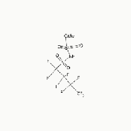 COS(=O)(=O)NS(=O)(=O)C(F)(F)C(F)(F)C(F)(F)C(F)(F)F